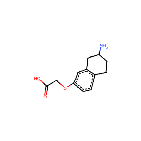 NC1CCc2ccc(OCC(=O)O)cc2C1